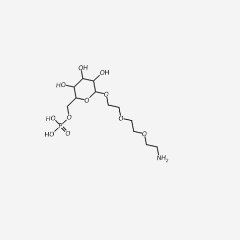 NCCOCCOCCOC1OC(COP(=O)(O)O)C(O)C(O)C1O